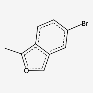 Cc1occ2cc(Br)ccc12